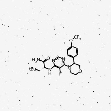 CC(C)(C)C[C@@H](Nc1ncnc(N2CCOCC2c2ccc(OC(F)(F)F)cc2)c1F)C(N)=O